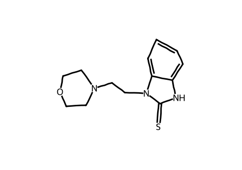 S=c1[nH]c2ccccc2n1CCN1CCOCC1